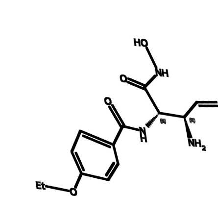 C=C[C@@H](N)[C@H](NC(=O)c1ccc(OCC)cc1)C(=O)NO